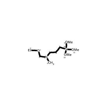 CCOCN(C)CCC[Si](OC)(OC)OC